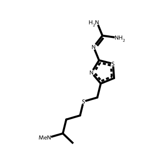 CNC(C)CCSCc1csc(N=C(N)N)n1